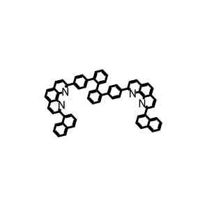 c1ccc(-c2ccccc2-c2ccc(-c3ccc4ccc5ccc(-c6cccc7ccccc67)nc5c4n3)cc2)c(-c2ccc(-c3ccc4ccc5ccc(-c6cccc7ccccc67)nc5c4n3)cc2)c1